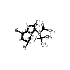 CC(=O)N(c1c(C)nc2c(Br)cc(Br)cn12)C(C)(C)C